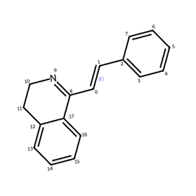 C(=C\c1ccccc1)/C1=NCCc2ccccc21